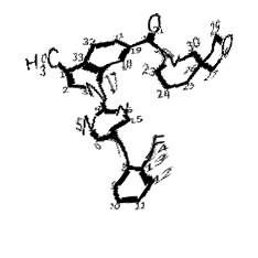 Cc1cn(-c2ncc(-c3ccccc3F)cn2)c2cc(C(=O)N3CCCC4(COC4)C3)ccc12